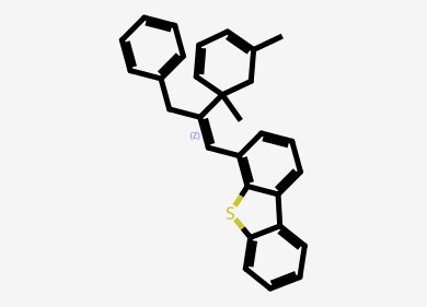 CC1=CC=CC(C)(/C(=C\c2cccc3c2sc2ccccc23)Cc2ccccc2)C1